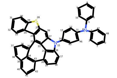 c1ccc(N(c2ccccc2)c2ccc(-n3c4cccc5c4c4c(c6c(cc43)sc3ccccc36)-c3cccc4cccc-5c34)cc2)cc1